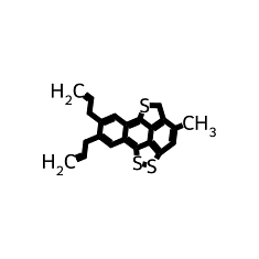 C=CCc1cc2c3c4c(cc(C)c5c4c(c2cc1CC=C)SC5)SS3